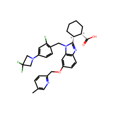 Cc1ccc(COc2ccc3nc([C@@H]4CCCC[C@@H]4C(=O)O)n(Cc4ccc(N5CC(F)(F)C5)cc4F)c3c2)nc1